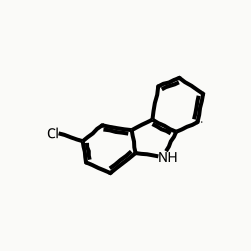 Clc1ccc2[nH]c3[c]cccc3c2c1